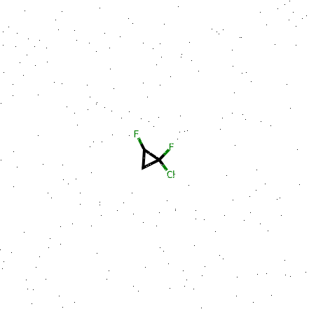 FC1CC1(F)Cl